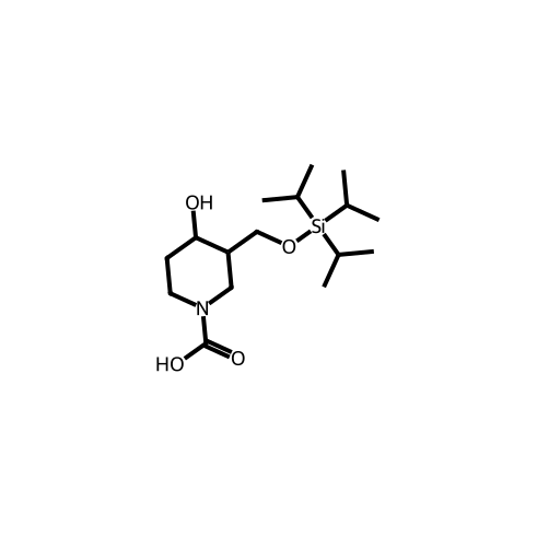 CC(C)[Si](OCC1CN(C(=O)O)CCC1O)(C(C)C)C(C)C